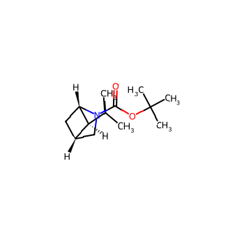 CC(C)[C@H]1[C@H]2C[C@@H]1N(C(=O)OC(C)(C)C)C2